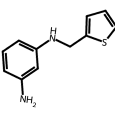 Nc1cccc(NCc2cccs2)c1